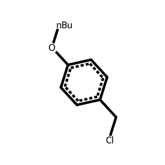 CCCCOc1ccc(CCl)cc1